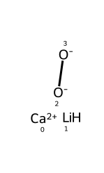 [Ca+2].[LiH].[O-][O-]